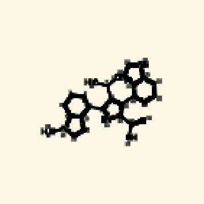 CC(C)c1c(-c2cccc3c2ccn3N)[nH]c(C(=O)O)c1-c1cccc2[nH]ccc12